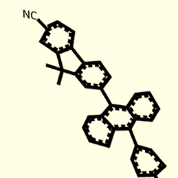 [2H]c1ccc(-c2c3ccccc3c(-c3ccc4c(c3)C(C)(C)c3cc(C#N)ccc3-4)c3ccccc23)cc1